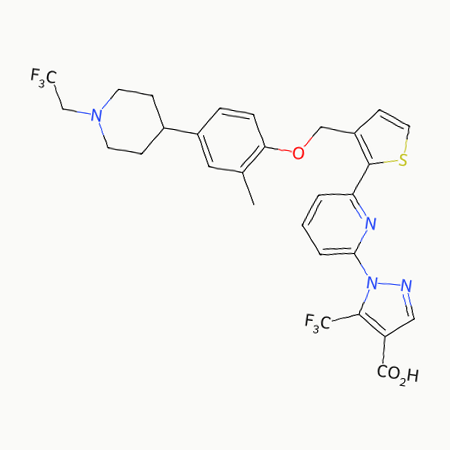 Cc1cc(C2CCN(CC(F)(F)F)CC2)ccc1OCc1ccsc1-c1cccc(-n2ncc(C(=O)O)c2C(F)(F)F)n1